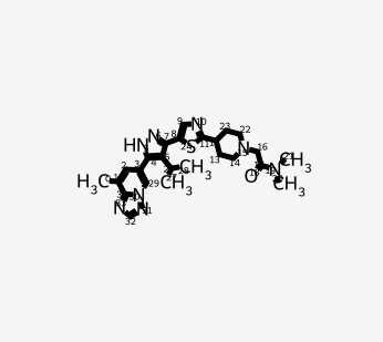 Cc1cc(-c2[nH]nc(-c3cnc(C4CCN(CC(=O)N(C)C)CC4)s3)c2C(C)C)cn2ncnc12